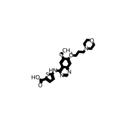 COc1cc2c(Nc3ccc(C(=O)O)s3)ncnc2cc1OCCCN1CCOCC1